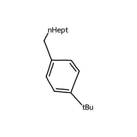 CCCCCCCCc1ccc(C(C)(C)C)cc1